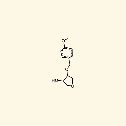 COc1ccc(COC2COC[C@H]2O)cc1